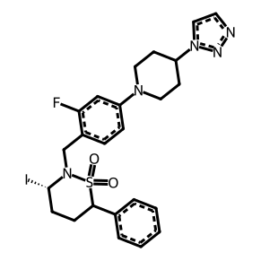 O=S1(=O)C(c2ccccc2)CC[C@H](I)N1Cc1ccc(N2CCC(n3ccnn3)CC2)cc1F